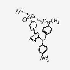 CN(C)c1ccc(CC(c2ccc(N)cc2)c2nsc(N3CCN(S(=O)(=O)CCC(F)(F)F)CC3)n2)cc1